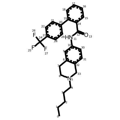 CCCCCN1CCc2cc(NC(=O)c3ccccc3-c3ccc(C(F)(F)F)cc3)ccc2C1